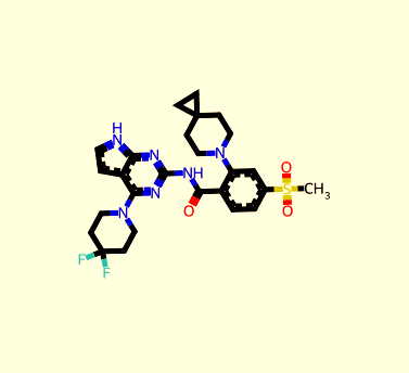 CS(=O)(=O)c1ccc(C(=O)Nc2nc(N3CCC(F)(F)CC3)c3cc[nH]c3n2)c(N2CCC3(CC2)CC3)c1